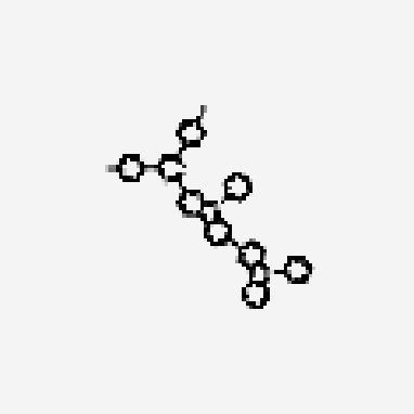 Fc1ccc(-c2cc(-c3ccc(F)cc3)nc(-c3ccc4c5ccc(-c6ccc7c(c6)c6ccccc6n7-c6ccccc6)cc5n(-c5ccccc5)c4c3)n2)cc1